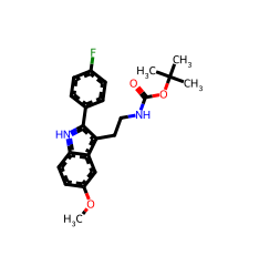 COc1ccc2[nH]c(-c3ccc(F)cc3)c(CCNC(=O)OC(C)(C)C)c2c1